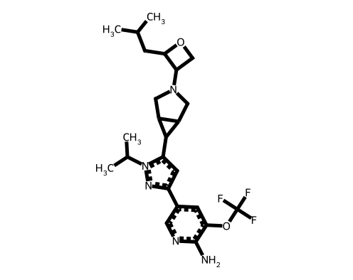 CC(C)CC1OCC1N1CC2C(C1)C2c1cc(-c2cnc(N)c(OC(F)(F)F)c2)nn1C(C)C